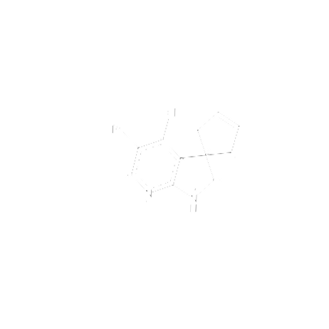 Clc1c(Br)cnc2c1C1(CC=CC1)CN2